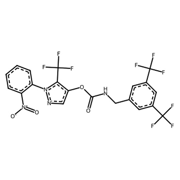 O=C(NCc1cc(C(F)(F)F)cc(C(F)(F)F)c1)Oc1cnn(-c2ccccc2[N+](=O)[O-])c1C(F)(F)F